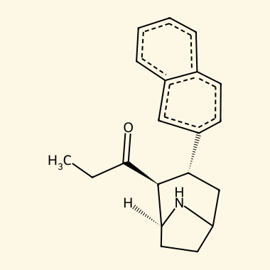 CCC(=O)[C@@H]1[C@@H]2CCC(C[C@H]1c1ccc3ccccc3c1)N2